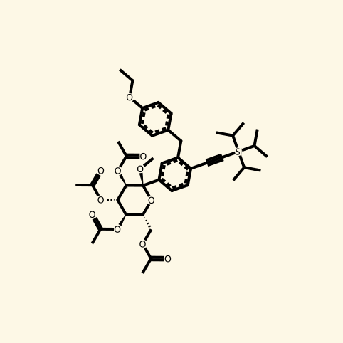 CCOc1ccc(Cc2cc([C@]3(OC)O[C@H](COC(C)=O)[C@@H](OC(C)=O)[C@H](OC(C)=O)[C@H]3OC(C)=O)ccc2C#C[Si](C(C)C)(C(C)C)C(C)C)cc1